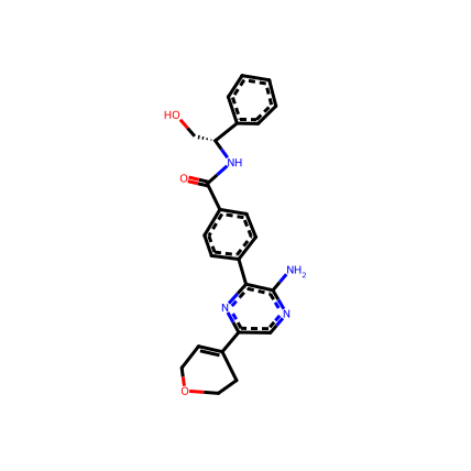 Nc1ncc(C2=CCOCC2)nc1-c1ccc(C(=O)N[C@H](CO)c2ccccc2)cc1